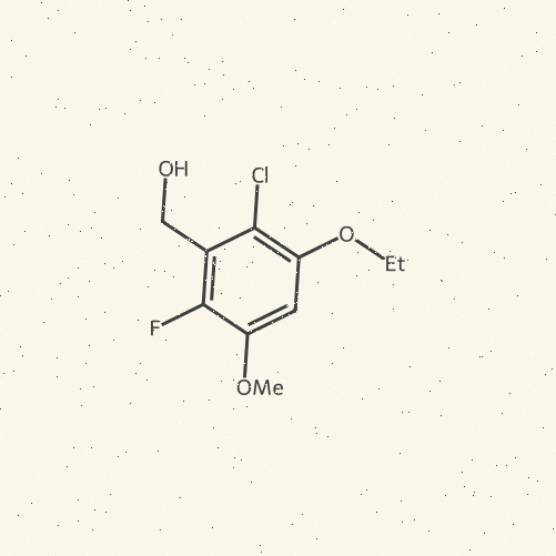 CCOc1cc(OC)c(F)c(CO)c1Cl